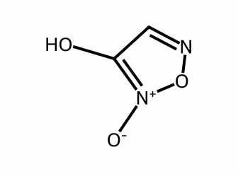 [O-][n+]1oncc1O